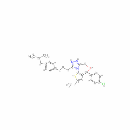 CCc1cc2c(s1)-n1c(CCCc3ccc(CC(C)C)cc3)nnc1COC2c1ccc(Cl)cc1